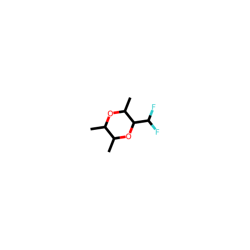 CC1OC(C)C(C(F)F)OC1C